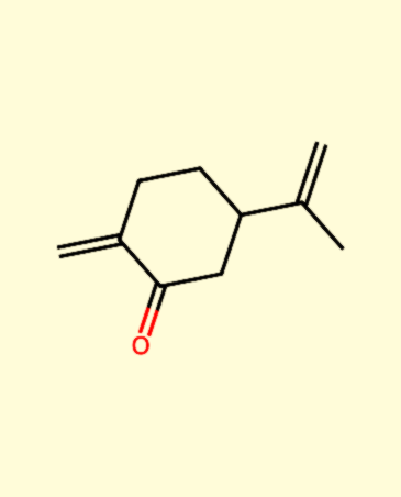 C=C1CCC(C(=C)C)CC1=O